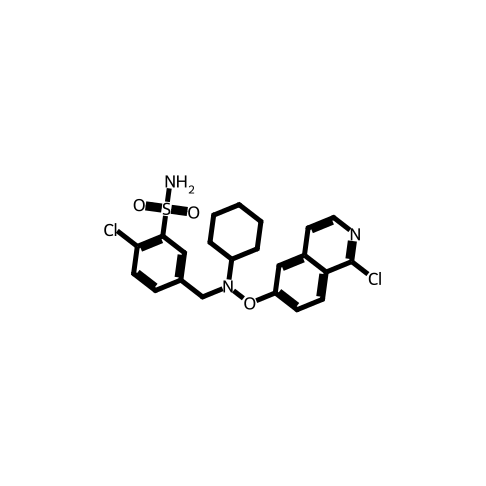 NS(=O)(=O)c1cc(CN(Oc2ccc3c(Cl)nccc3c2)C2CCCCC2)ccc1Cl